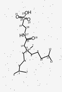 CC(C)CCC[N+](C)(CCCC(C)C)CC(=O)NCCS(=O)(=O)O